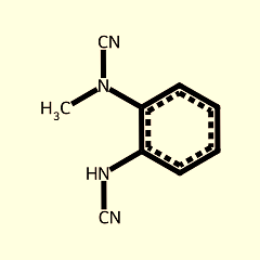 CN(C#N)c1ccccc1NC#N